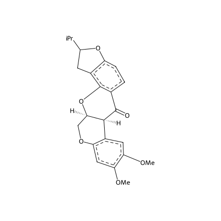 COc1cc2c(cc1OC)[C@@H]1C(=O)c3ccc4c(c3O[C@@H]1CO2)CC(C(C)C)O4